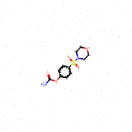 NC(=O)Oc1ccc(S(=O)(=O)N2CCOCC2)cc1